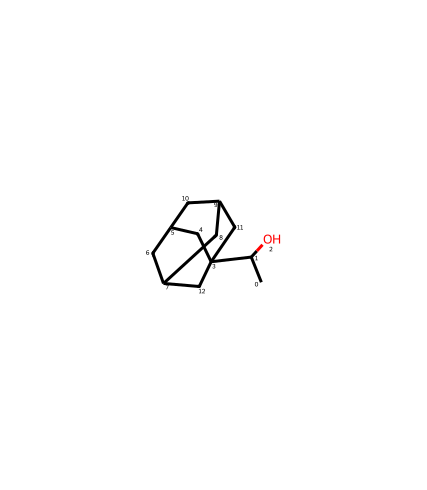 CC(O)C12CC3[CH]C(CC(C3)C1)C2